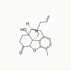 C=CCN1CC[C@]23c4c5ccc(C)c4OC2C(=O)CCC3(O)[C@H]1C5